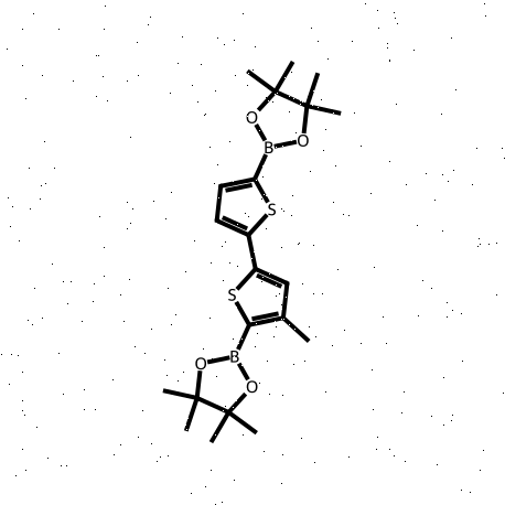 Cc1cc(-c2ccc(B3OC(C)(C)C(C)(C)O3)s2)sc1B1OC(C)(C)C(C)(C)O1